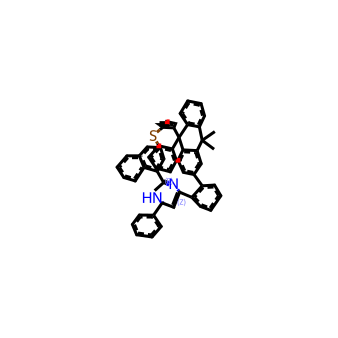 C/C(=N\C(=C/C(=N)c1ccccc1)c1ccccc1-c1ccc2c(c1)C(C)(C)c1ccccc1C21c2ccccc2Sc2ccccc21)c1cccc2ccccc12